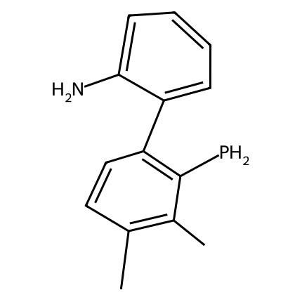 Cc1ccc(-c2ccccc2N)c(P)c1C